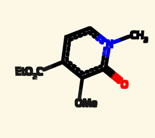 CCOC(=O)c1ccn(C)c(=O)c1OC